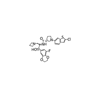 O=C(N[C@H](CN1CCC1)[C@H](O)c1cc(F)c2c(c1)OCCO2)[C@@H]1CCN(c2ccc3cc(Cl)sc3c2)C1